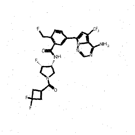 Nc1ncnn2c(-c3ccc(CF)c(C(=O)N[C@@H]4CN(C(=O)C5CC(F)(F)C5)C[C@@H]4F)c3)cc(C(F)(F)F)c12